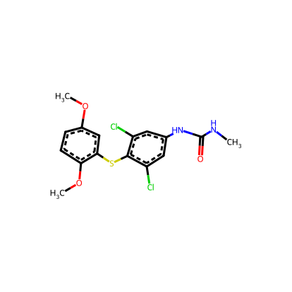 CNC(=O)Nc1cc(Cl)c(Sc2cc(OC)ccc2OC)c(Cl)c1